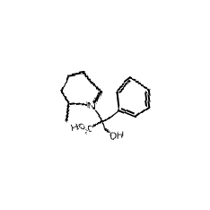 CC1CCCCN1C(O)(C(=O)O)c1ccccc1